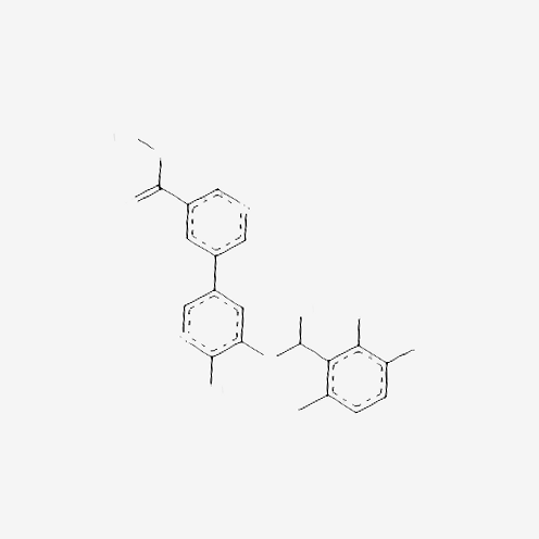 COC(=O)c1cncc(-c2cnc(C)c(OC(C)c3c(Cl)ccc(F)c3Cl)c2)c1